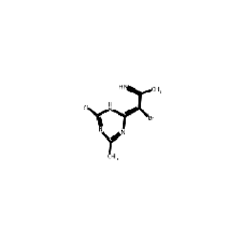 CC(=N)/C(Br)=C1/N=C(C)N=C(Cl)N1